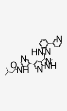 CC(C)CC(=O)Nc1cncc(-c2cnc3c(c2)C(c2nc4c(-c5cccnc5)cccc4[nH]2)N(C)N3)c1